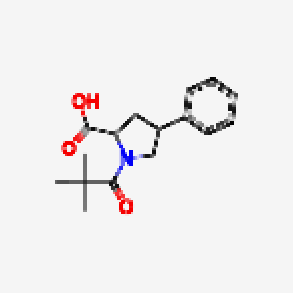 CC(C)(C)C(=O)N1CC(c2ccccc2)CC1C(=O)O